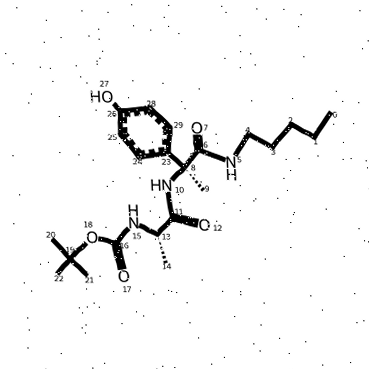 CCCCCNC(=O)[C@@](C)(NC(=O)[C@H](C)NC(=O)OC(C)(C)C)c1ccc(O)cc1